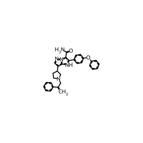 C=C(CN1CCC(c2cnn3c(C(N)=O)c(-c4ccc(Oc5ccccc5)cc4)[nH]c23)C1)c1ccccc1